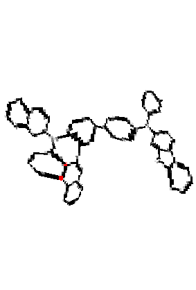 c1ccc(N(c2ccc(-c3ccc(N(c4ccccc4)c4ccc5ccccc5c4)c(-c4ccc5ccccc5c4)c3)cc2)c2ccc3c(c2)oc2ccccc23)cc1